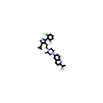 C=C(CC)c1ccc2cc(N3CCN(CCC4=C(C5CC5)CN=C4c4c(Cl)cccc4Cl)C(C)C3)ccc2n1